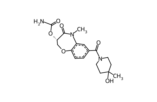 CN1C(=O)[C@@H](OC(N)=O)COc2ccc(C(=O)N3CCC(C)(O)CC3)cc21